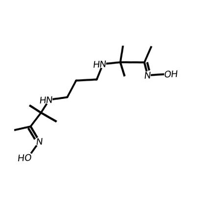 C/C(=N\O)C(C)(C)NCCCNC(C)(C)/C(C)=N/O